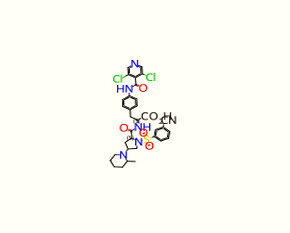 CC1CCCCN1C1C[C@@H](C(=O)N[C@@H](Cc2ccc(NC(=O)c3c(Cl)cncc3Cl)cc2)C(=O)O)N(S(=O)(=O)c2cccc(C#N)c2)C1